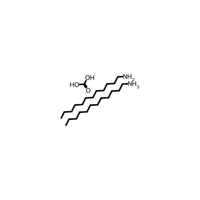 CCCCCCCCCCCCN.CCCCCCCCCCCCN.O=C(O)O